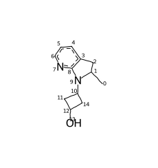 CC1Cc2cccnc2N1C1CC(O)C1